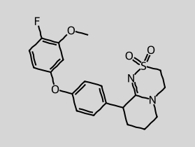 COc1cc(Oc2ccc(C3CCCN4CCS(=O)(=O)N=C34)cc2)ccc1F